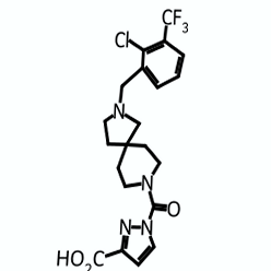 O=C(O)c1ccn(C(=O)N2CCC3(CCN(Cc4cccc(C(F)(F)F)c4Cl)C3)CC2)n1